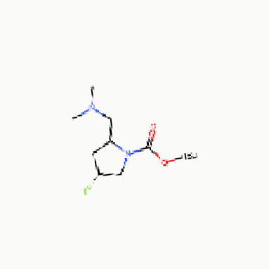 CN(C)CC1C[C@@H](F)CN1C(=O)OC(C)(C)C